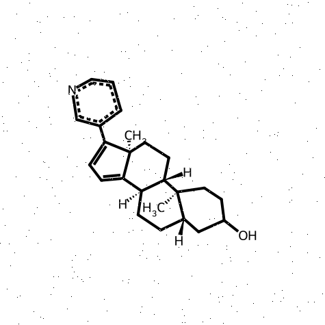 C[C@]12CC[C@H]3[C@@H](CC[C@H]4CC(O)CC[C@@]43C)C1=CC=C2c1cccnc1